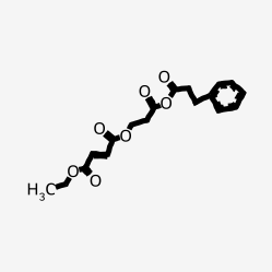 CCOC(=O)C=CC(=O)OCCC(=O)OC(=O)CCc1ccccc1